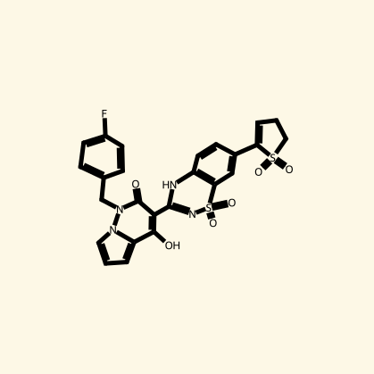 O=c1c(C2=NS(=O)(=O)c3cc(C4=CCCS4(=O)=O)ccc3N2)c(O)c2cccn2n1Cc1ccc(F)cc1